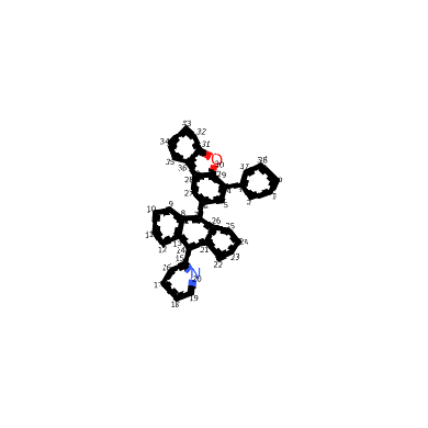 c1ccc(-c2cc(-c3c4ccccc4c(-c4ccccn4)c4ccccc34)cc3c2oc2ccccc23)cc1